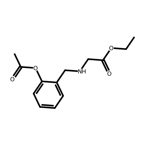 CCOC(=O)CNCc1ccccc1OC(C)=O